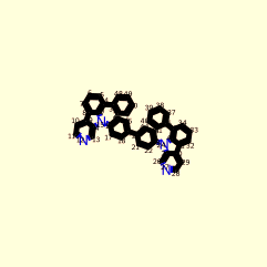 c1ccc(-c2cccc3c4ccncc4n(-c4ccc(-c5ccc(-n6c7cnccc7c7cccc(-c8ccccc8)c76)cc5)cc4)c23)cc1